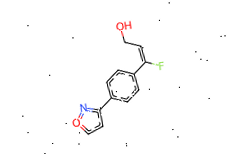 OC/C=C(/F)c1ccc(-c2ccon2)cc1